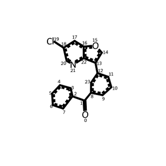 O=C(c1ccccc1)c1cccc(-c2coc3cc(Cl)cnc23)c1